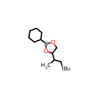 CC(CC(C)(C)C)C1COB(C2CCCCC2)O1